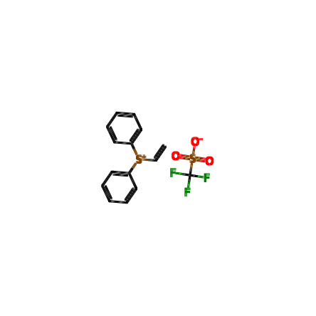 C=C[S+](c1ccccc1)c1ccccc1.O=S(=O)([O-])C(F)(F)F